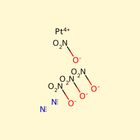 O=[N+]([O-])[O-].O=[N+]([O-])[O-].O=[N+]([O-])[O-].O=[N+]([O-])[O-].[N].[N].[Pt+4]